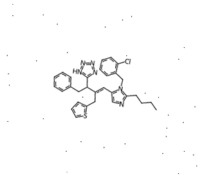 CCCCc1ncc(C=C(Cc2cccs2)C(Cc2ccccc2)c2nnn[nH]2)n1Cc1ccccc1Cl